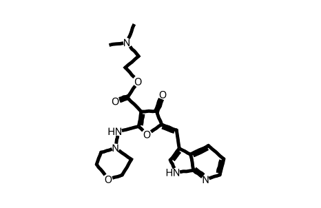 CN(C)CCOC(=O)C1=C(NN2CCOCC2)O/C(=C\c2c[nH]c3ncccc23)C1=O